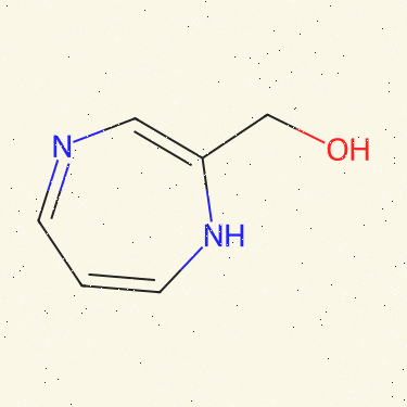 OCC1=CN=CC=CN1